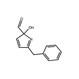 O=CC1(O)C=CC(Cc2ccccc2)=N1